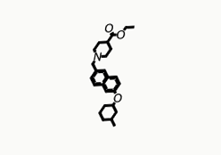 CCOC(=O)C1CCN(Cc2ccc3cc(OC4CCCC(C)C4)ccc3c2)CC1